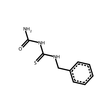 NC(=O)NC(=S)NCc1ccccc1